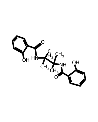 CC(C)(NC(=O)c1ccccc1O)C(C)(C)NC(=O)c1ccccc1O